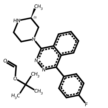 CC(C)(C)OC=O.C[C@H]1CN(c2nnc(-c3ccc(F)cc3)c3ccccc23)CCN1